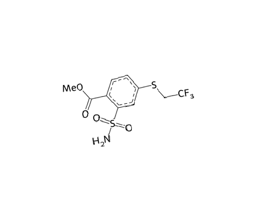 COC(=O)c1ccc(SCC(F)(F)F)cc1S(N)(=O)=O